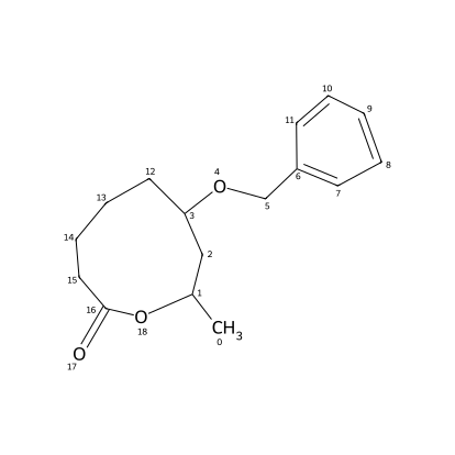 CC1CC(OCc2ccccc2)CCCCC(=O)O1